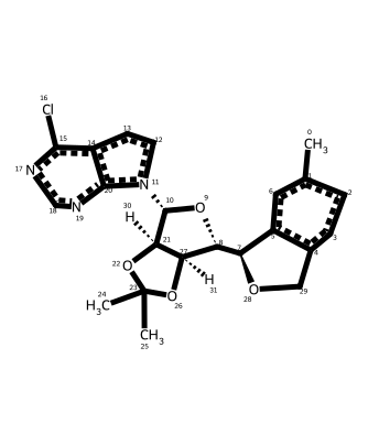 Cc1ccc2c(c1)[C@H]([C@H]1O[C@@H](n3ccc4c(Cl)ncnc43)[C@@H]3OC(C)(C)O[C@@H]31)OC2